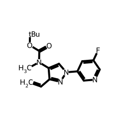 C=Cc1nn(-c2cncc(F)c2)cc1N(C)C(=O)OC(C)(C)C